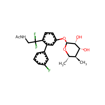 CC(=O)NCC(F)(F)c1ccc(O[C@@H]2O[C@@H](C)[C@H](C)[C@@H](O)[C@H]2O)cc1-c1cccc(F)c1